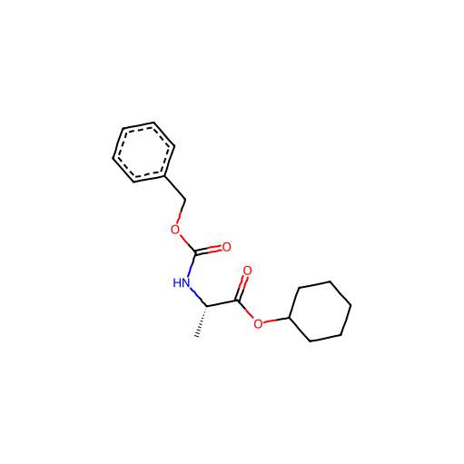 C[C@H](NC(=O)OCc1ccccc1)C(=O)OC1CCCCC1